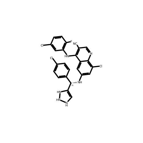 N#Cc1cnc2c(Cl)cc(N[C@H](C3=CNNN3)c3ccc(Cl)cc3)cc2c1Nc1cc(Cl)ccc1F